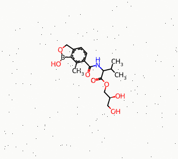 Cc1c(C(=O)NC(C(=O)OC[C@@H](O)CO)C(C)C)ccc2c1B(O)OC2